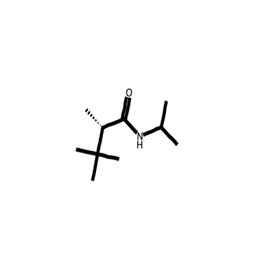 CC(C)NC(=O)[C@@H](C)C(C)(C)C